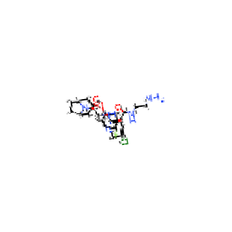 NCCNC(=O)c1cc(Cl)cnc1NCC(=O)N1C2CCC1CC(Oc1ccc(F)cc1)C2